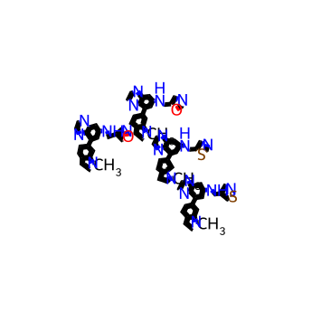 Cn1ccc2ccc(-c3cc(NCc4cnco4)cc4nccnc34)cc21.Cn1ccc2ccc(-c3cc(NCc4cncs4)cc4nccnc34)cc21.Cn1ccc2ccc(-c3cc(NCc4cnoc4)cc4nccnc34)cc21.Cn1ccc2ccc(-c3cc(NCc4cnsc4)cc4nccnc34)cc21